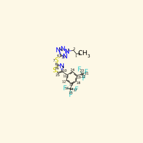 CCCn1nnc(Sc2nc(-c3cc(C(F)(F)F)cc(C(F)(F)F)c3)cs2)n1